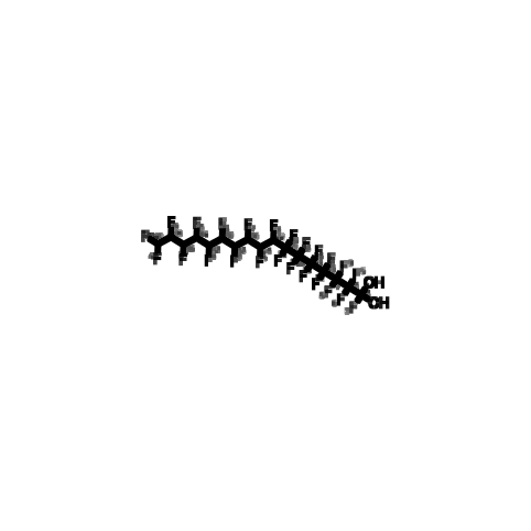 OC(O)(F)C(F)(F)C(F)(F)C(F)(F)C(F)(F)C(F)(F)C(F)(F)C(F)C(F)C(F)C(F)C(F)C(F)C(F)C(F)C(F)C(F)F